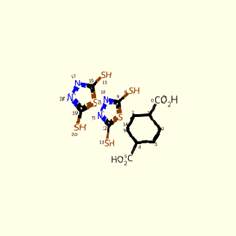 O=C(O)C1CCC(C(=O)O)CC1.Sc1nnc(S)s1.Sc1nnc(S)s1